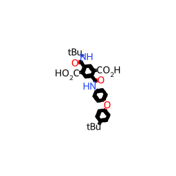 CC(C)(C)NC(=O)c1cc(C(=O)O)c(C(=O)Nc2ccc(Oc3ccc(C(C)(C)C)cc3)cc2)cc1C(=O)O